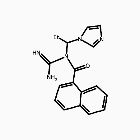 CCC(N(C(=N)N)C(=O)c1cccc2ccccc12)n1ccnc1